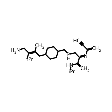 C#CC(=C)/N=C(\CPCC1CCC(C/C(C)=C(/CN)CCC)CC1)C(=C)NC(C)C